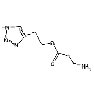 NCCC(=O)OCCc1c[nH]nn1